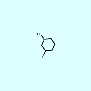 CN1CCC[C](F)C1